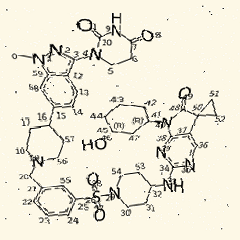 Cn1nc(N2CCC(=O)NC2=O)c2ccc(C3CCN(Cc4cccc(S(=O)(=O)N5CCC(Nc6ncc7c(n6)N([C@@H]6CCC[C@@H](O)C6)C(=O)C76CC6)CC5)c4)CC3)cc21